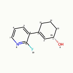 O[C@@H]1C=C(c2cccnc2F)CCC1